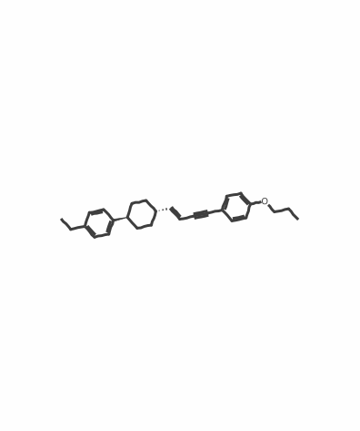 CCCOc1ccc(C#CC=C[C@H]2CC[C@H](c3ccc(CC)cc3)CC2)cc1